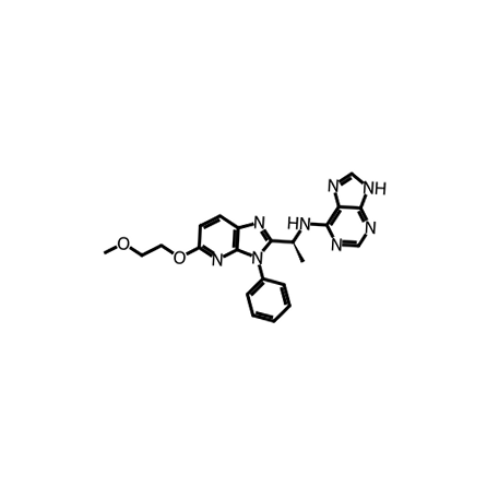 COCCOc1ccc2nc([C@H](C)Nc3ncnc4[nH]cnc34)n(-c3ccccc3)c2n1